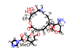 CC[C@H]1OC(=O)[C@H](C)[C@@H](OC2C[C@@](C)(OC)[C@H](OC(=O)n3ccnc3)[C@@H](C)O2)[C@H](C)[C@@H](O[C@@H]2O[C@H](C)CC(N)[C@H]2OC(C)=O)[C@](C)(O)C[C@@H](C)CN(C)[C@H](C)[C@@H](O)[C@]1(C)O